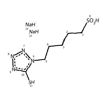 O=S(=O)(O)CCCCCn1nnnc1S.[NaH].[NaH]